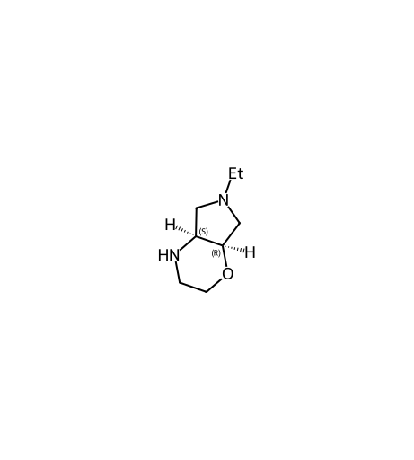 CCN1C[C@@H]2NCCO[C@@H]2C1